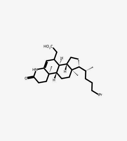 CC(C)CCC[C@@H](C)[C@H]1CC[C@H]2[C@@H]3C(CC(=O)O)C=C4NC(=O)CC[C@]4(C)[C@H]3CC[C@]12C